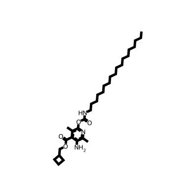 CCCCCCCCCCCCCCCCCCNC(=O)Oc1nc(C)c(N)c(C(=O)OCC2CCC2)c1C